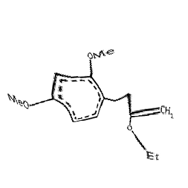 C=C(Cc1ccc(OC)cc1OC)OCC